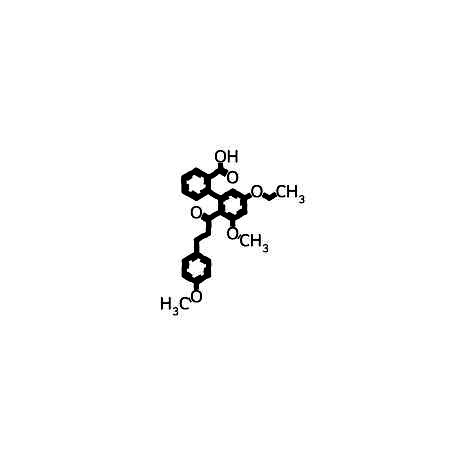 CCOc1cc(OC)c(C(=O)CCc2ccc(OC)cc2)c(-c2ccccc2C(=O)O)c1